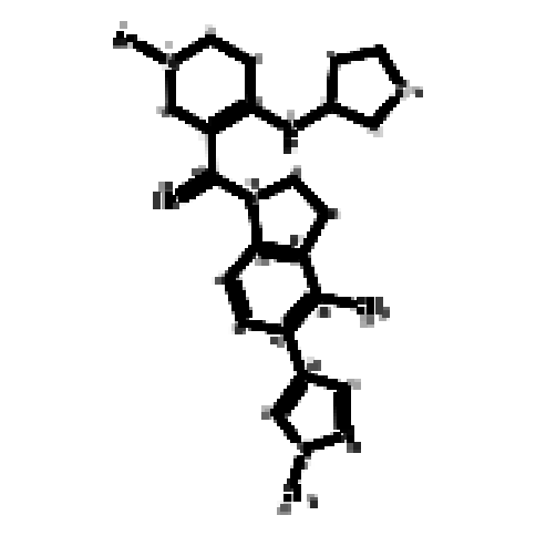 CC(=O)N1CCC(NC2CCOC2)=C(C(=N)N2CCc3c2ccc(-c2cnn(C)c2)c3C)C1